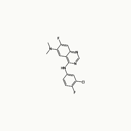 CN(C)c1cc2c(Nc3ccc(F)c(Cl)c3)ncnc2cc1F